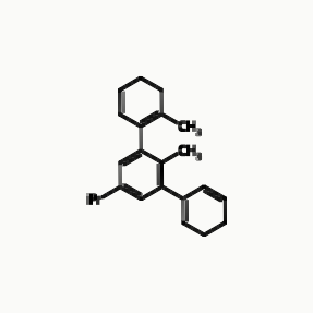 CC1=C(c2cc(C(C)C)cc(C3=CCCC=C3)c2C)C=CCC1